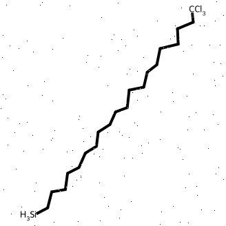 [SiH3]CCCCCCCCCCCCCCCCCCCC(Cl)(Cl)Cl